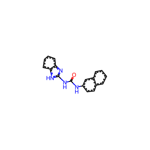 O=C(Nc1ccc2ccccc2c1)Nc1nc2ccccc2[nH]1